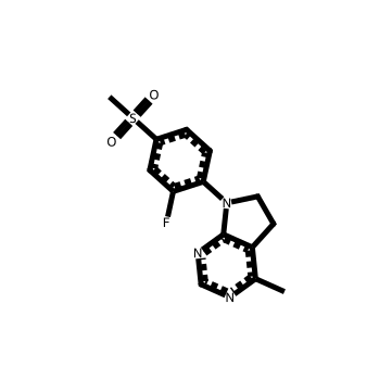 Cc1ncnc2c1CCN2c1ccc(S(C)(=O)=O)cc1F